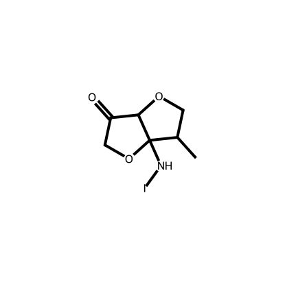 CC1COC2C(=O)COC12NI